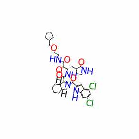 O=C(NCCOCC1CCCC1)C(=O)[C@H](C[C@@H]1CCNC1=O)NC(=O)[C@@H]1[C@H]2CCCC[C@H]2CN1C(=O)c1cc2c(Cl)cc(Cl)cc2[nH]1